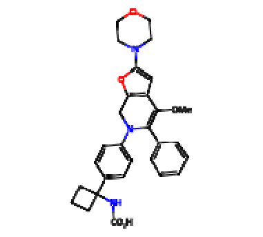 COC1=C(c2ccccc2)N(c2ccc(C3(NC(=O)O)CCC3)cc2)Cc2oc(N3CCOCC3)cc21